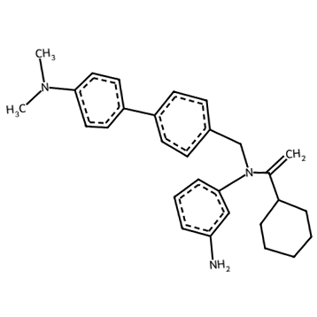 C=C(C1CCCCC1)N(Cc1ccc(-c2ccc(N(C)C)cc2)cc1)c1cccc(N)c1